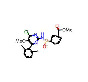 COC(=O)c1cccc([S+]([O-])Nc2nc(Cl)c(OC)c(-c3c(C)cccc3C)n2)c1